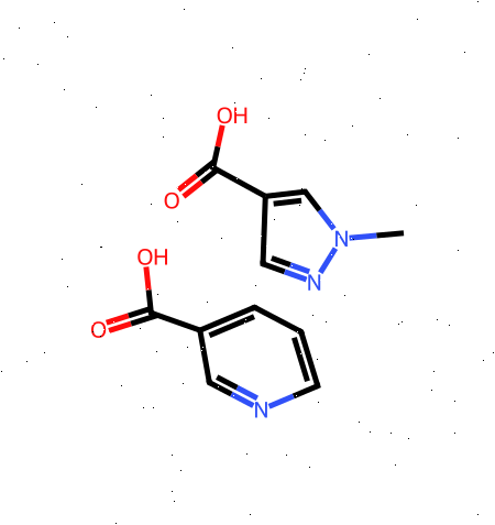 Cn1cc(C(=O)O)cn1.O=C(O)c1cccnc1